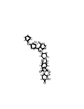 Nc1ncnc2c1c(-c1ccc(Oc3ccccc3)cc1)nn2C1CCN(Cc2cc3c(cc2Br)C(=O)N(C2CCC(=O)NC2=O)C3=O)CC1